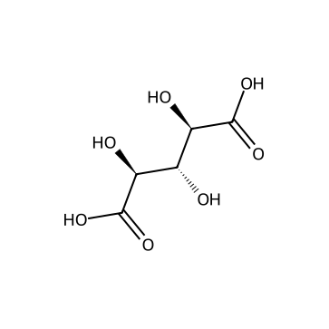 O=C(O)[C@@H](O)[C@@H](O)[C@@H](O)C(=O)O